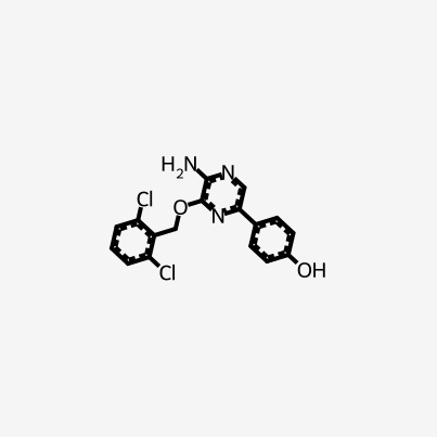 Nc1ncc(-c2ccc(O)cc2)nc1OCc1c(Cl)cccc1Cl